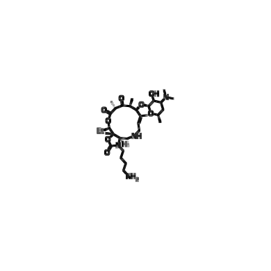 CC[C@H]1OC(=O)[C@H](C)C(=O)[C@@H](C)[C@@H](O[C@@H]2O[C@H](C)CC(N(C)C)C2O)/C(C)=C/CN[C@H](C)[C@H]2N(CCCCN)C(=O)O[C@]12C